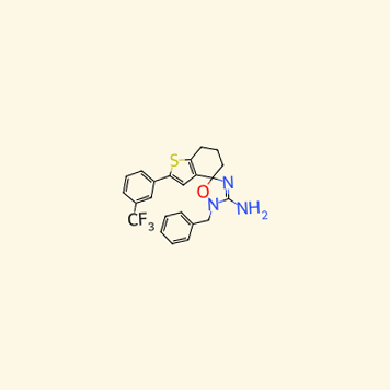 NC1=NC2(CCCc3sc(-c4cccc(C(F)(F)F)c4)cc32)ON1Cc1ccccc1